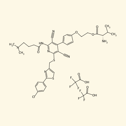 CC(C)[C@H](N)C(=O)OCCOc1ccc(-c2c(C#N)c(NC(=O)CCCN(C)C)nc(SCc3csc(-c4ccc(Cl)cc4)n3)c2C#N)cc1.O=C(O)C(F)(F)F.O=C(O)C(F)(F)F